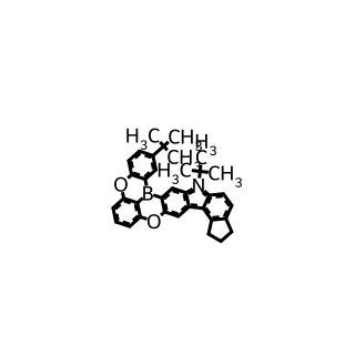 CC(C)(C)c1ccc2c(c1)B1c3cc4c(cc3Oc3cccc(c31)O2)c1c2c(ccc1n4C(C)(C)C)CCC2